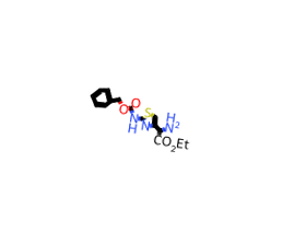 CCOC(=O)C(N)c1csc(NC(=O)OCc2ccccc2)n1